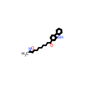 Cc1cc(CCCCCCC(=O)c2ccc3c(c2)[nH]c2ccccc23)on1